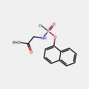 COC(=O)CNP(=O)(Cl)Oc1cccc2ccccc12